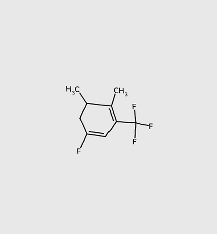 CC1=C(C(F)(F)F)C=C(F)CC1C